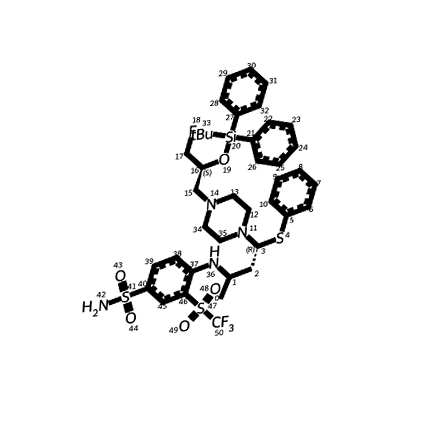 CC(C[C@@H](Sc1ccccc1)N1CCN(C[C@@H](CF)O[Si](c2ccccc2)(c2ccccc2)C(C)(C)C)CC1)Nc1ccc(S(N)(=O)=O)cc1S(=O)(=O)C(F)(F)F